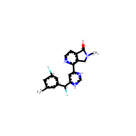 CN1Cc2c(ccnc2-c2cc(C(F)c3cc(F)cc(C(F)(F)F)c3)ncn2)C1=O